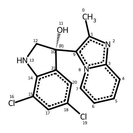 Cc1nc2ccccn2c1[C@]1(O)CNc2c(Cl)cc(Cl)cc21